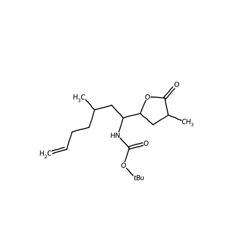 C=CCCC(C)CC(NC(=O)OC(C)(C)C)C1CC(C)C(=O)O1